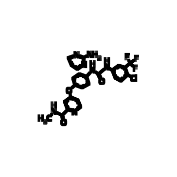 CNC(=O)c1cc(Oc2ccc(NC(=O)Nc3ccc(Cl)c(C(F)(F)F)c3)cc2)ccn1.Nc1ncccn1